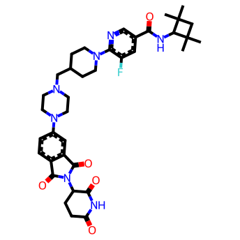 CC1(C)CC(C)(C)C1NC(=O)c1cnc(N2CCC(CN3CCN(c4ccc5c(c4)C(=O)N(C4CCC(=O)NC4=O)C5=O)CC3)CC2)c(F)c1